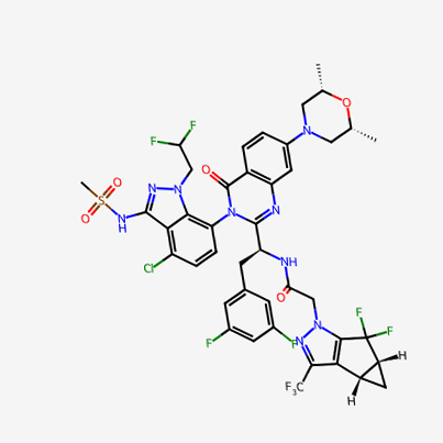 C[C@@H]1CN(c2ccc3c(=O)n(-c4ccc(Cl)c5c(NS(C)(=O)=O)nn(CC(F)F)c45)c([C@H](Cc4cc(F)cc(F)c4)NC(=O)Cn4nc(C(F)(F)F)c5c4C(F)(F)[C@@H]4C[C@H]54)nc3c2)C[C@H](C)O1